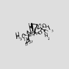 CC(C)(C)OC(=O)CC(C)(N)C1CC1